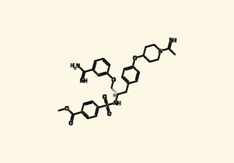 COC(=O)c1ccc(S(=O)(=O)N[C@H](COc2cccc(C(=N)N)c2)Cc2ccc(OC3CCN(C(C)=N)CC3)cc2)cc1